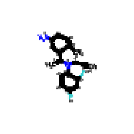 C#CCN(C(=C)c1cc(N)ccc1C)c1ccc(F)cc1F